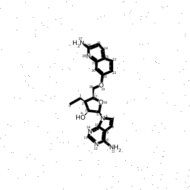 CC[C@@H]1[C@@H](O)[C@H](n2ccc3c(N)ncnc32)O[C@@H]1COc1ccc2ccc(N)nc2c1